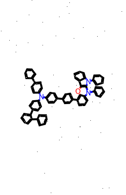 c1ccc(-c2ccc(N(c3ccc(-c4ccc(-c5cccc6c5Oc5c(n(-c7ccccc7)c7ccccc57)N6c5ccccc5)cc4)cc3)c3ccc(-c4ccccc4-c4ccccc4)cc3)cc2)cc1